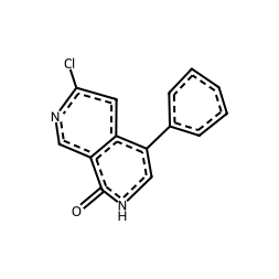 O=c1[nH]cc(-c2ccccc2)c2cc(Cl)ncc12